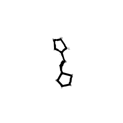 C(=CC1CCCC1)C1CCCC1